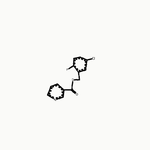 O=C(OCc1cc(Cl)ccc1F)c1cccnc1